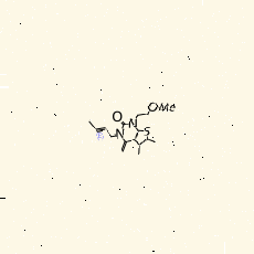 C=C1c2c(sc(C)c2C)N(CCOC)C(=O)N1C/C=C/C